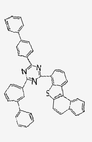 c1ccc(-c2ccc(-c3nc(-c4cccc(-c5ccccc5)c4)nc(-c4cccc5c4sc4ccc6ccccc6c45)n3)cc2)cc1